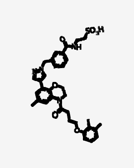 Cc1cc(-c2cnn(Cc3cccc(C(=O)NCCS(=O)(=O)O)c3)c2)c2c(c1)N(C(=O)CCCOc1cccc(C)c1C)CCO2